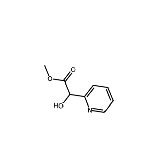 COC(=O)C(O)c1ccccn1